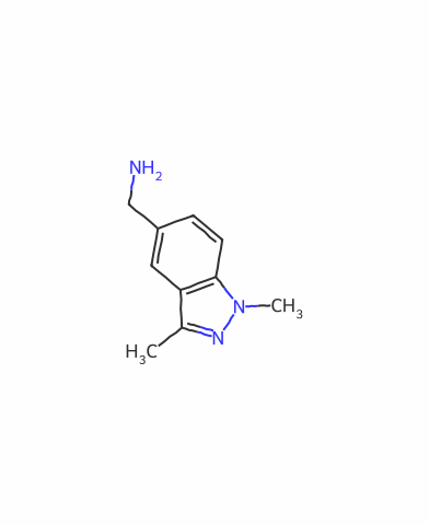 Cc1nn(C)c2ccc(CN)cc12